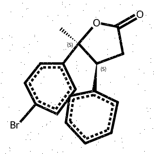 C[C@]1(c2ccc(Br)cc2)OC(=O)C[C@H]1c1ccccc1